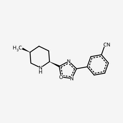 C[C@H]1CC[C@@H](c2nc(-c3cccc(C#N)c3)no2)NC1